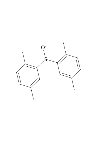 Cc1ccc(C)c([S+]([O-])c2cc(C)ccc2C)c1